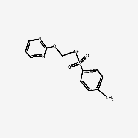 Nc1ccc(S(=O)(=O)NCOc2ncccn2)cc1